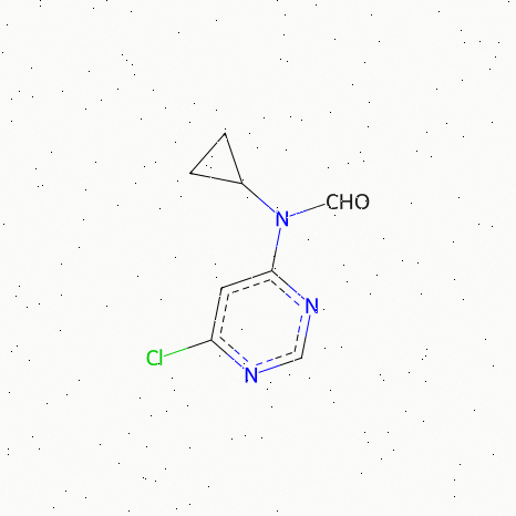 O=CN(c1cc(Cl)ncn1)C1CC1